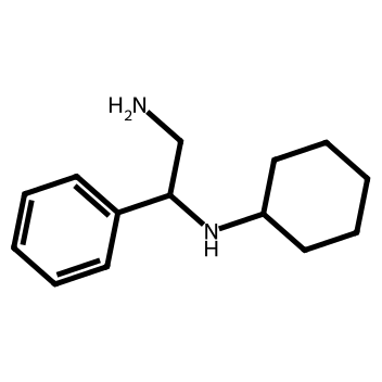 NCC(NC1CCCCC1)c1ccccc1